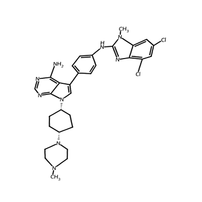 CN1CCN([C@H]2CC[C@@H](n3cc(-c4ccc(Nc5nc6c(Cl)cc(Cl)cc6n5C)cc4)c4c(N)ncnc43)CC2)CC1